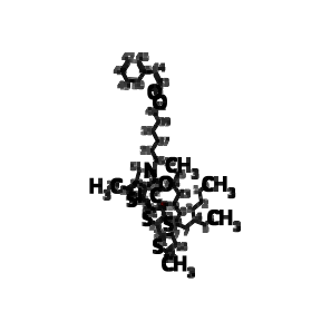 CCCCC(CC)C[Si]1(CC(CC)CCCC)c2cc(C)sc2-c2sc(-c3sc(C)c4c3C(=O)N(CCCCCCOO/C=C\c3ccccc3)C4)cc21